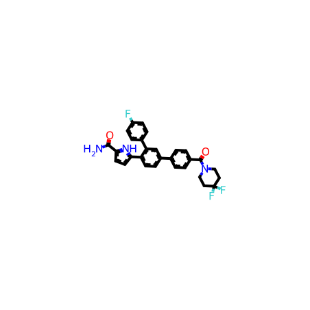 NC(=O)c1ccc(-c2ccc(-c3ccc(C(=O)N4CCC(F)(F)CC4)cc3)cc2-c2ccc(F)cc2)[nH]1